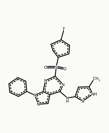 Cc1cc(Nc2nc(S(=O)(=O)c3ccc(F)cc3)nc3c2cnn3-c2ccccc2)n[nH]1